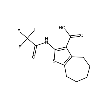 O=C(O)c1c(NC(=O)C(F)(F)I)sc2c1CCCCC2